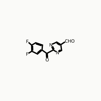 O=Cc1cnc(C(=O)c2ccc(F)c(F)c2)nc1